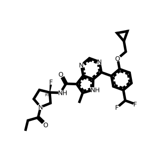 CCC(=O)N1CC[C@](F)(NC(=O)c2c(C)[nH]c3c(-c4cc(C(F)F)ccc4OCC4CC4)ncnc23)C1